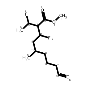 COC(=O)C(C(C)F)C(F)CC(C)CCCC=O